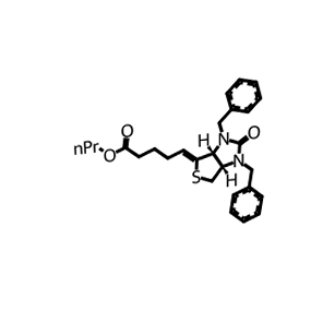 CCCOC(=O)CCCC=C1SC[C@@H]2[C@H]1N(Cc1ccccc1)C(=O)N2Cc1ccccc1